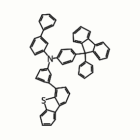 c1ccc(-c2cccc(N(c3ccc(C4(c5ccccc5)c5ccccc5-c5ccccc54)cc3)c3cccc(-c4cccc5c4sc4ccccc45)c3)c2)cc1